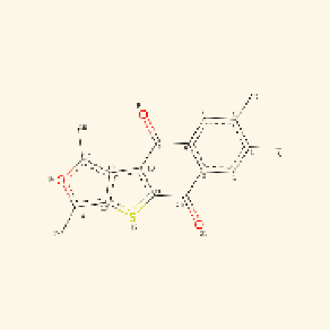 Cc1cc2c(cc1C)C(=O)c1c(sc3c(C)oc(C)c13)C2=O